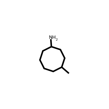 CC1CCCCC(N)CC1